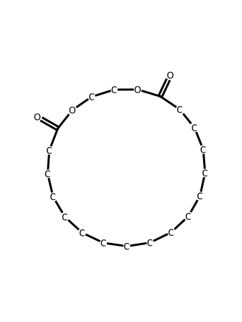 O=C1CCCCCCCCCCCCCCCC(=O)OCCO1